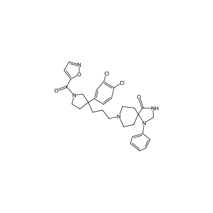 O=C(c1ccno1)N1CCC(CCCN2CCC3(CC2)C(=O)NCN3c2ccccc2)(c2ccc(Cl)c(Cl)c2)C1